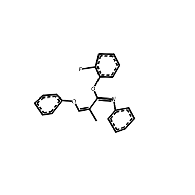 CC(=COc1ccccc1)C(=Nc1ccccc1)Oc1ccccc1F